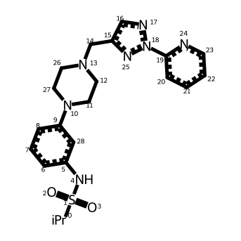 CC(C)S(=O)(=O)Nc1cccc(N2CCN(Cc3cnn(-c4ccccn4)n3)CC2)c1